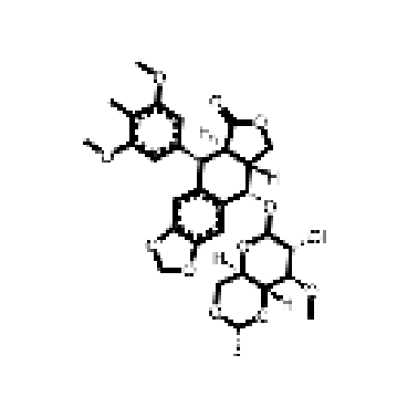 COc1cc([C@@H]2c3cc4c(cc3[C@@H](OC3O[C@@H]5CO[C@@H](C)O[C@H]5[C@H](OC)[C@H]3O)[C@H]3COC(=O)[C@H]23)OCO4)cc(OC)c1C